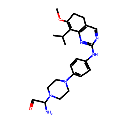 COC1=C(C(C)C)c2nc(Nc3ccc(N4CCN(C(N)C=O)CC4)cc3)ncc2CC1